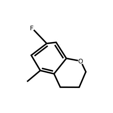 Cc1cc(F)cc2c1CCCO2